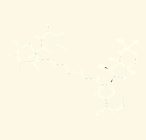 B[PH]1(O)OC[C@H]2O[C@@H](n3c(NCCCCCCNC(C)(C(C)C(C)C(C)C(C)CC)C(C)C(C)C(C)C(C)CC)nc4c(N)ncnc43)[C@@H](O)[C@H]2O1